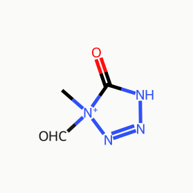 C[N+]1(C=O)N=NNC1=O